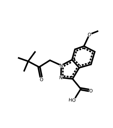 COc1ccc2c(C(=O)O)nn(CC(=O)C(C)(C)C)c2c1